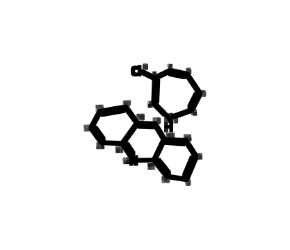 ClC1=CNC=CC=C1.c1ccc2nc3ccccc3cc2c1